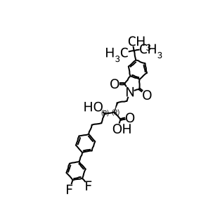 CC(C)(C)c1ccc2c(c1)C(=O)N(CC[C@@H](C(=O)O)[C@H](O)CCc1ccc(-c3ccc(F)c(F)c3)cc1)C2=O